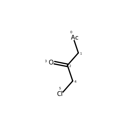 CC(=O)CC(=O)CCl